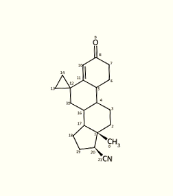 C[C@]12CCC3C4CCC(=O)C=C4C4(CC4)CC3C1CC[C@@H]2C#N